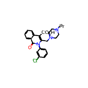 CC(C)N1CCN(Cc2c(C(=O)O)c3ccccc3c(=O)n2-c2cccc(Cl)c2)CC1